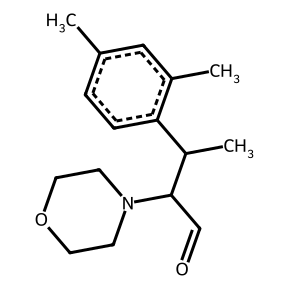 Cc1ccc(C(C)C(C=O)N2CCOCC2)c(C)c1